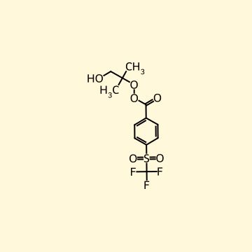 CC(C)(CO)OOC(=O)c1ccc(S(=O)(=O)C(F)(F)F)cc1